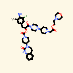 Nc1c(Cl)cc(CC(OC(=O)N2CCC(N3CCc4ccccc4NC3=O)CC2)C(=O)N2CCN(C3CCN(CC(=O)OCCN4CCOCC4)CC3)CC2)cc1C(F)(F)F